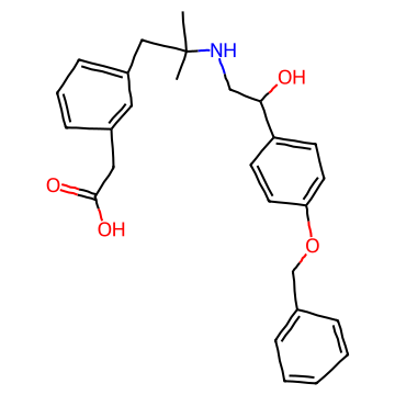 CC(C)(Cc1cccc(CC(=O)O)c1)NCC(O)c1ccc(OCc2ccccc2)cc1